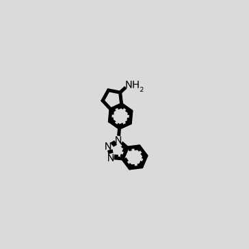 NC1CCc2cc(-n3nnc4ccccc43)ccc21